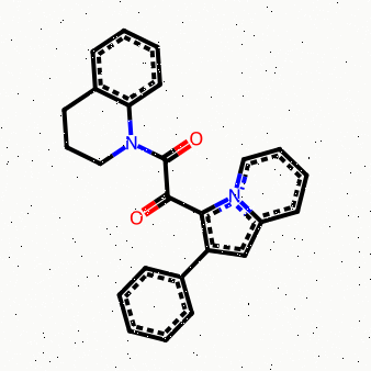 O=C(C(=O)N1CCCc2ccccc21)c1c(-c2ccccc2)cc2ccccn12